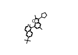 Cc1cc(-c2nccc3cc(C(C)(C)C)ccc23)c2oc(C)c(C3CCCC3)c2c1